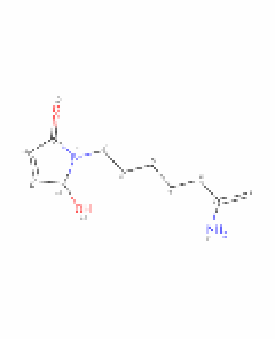 C=C(N)CCCCCN1C(=O)C=CC1O